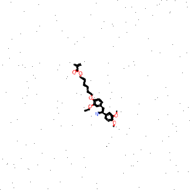 C=C(C)C(=O)OCCCCCCOc1ccc(C=C(C#N)c2ccc(OC)c(OC)c2)cc1OCC